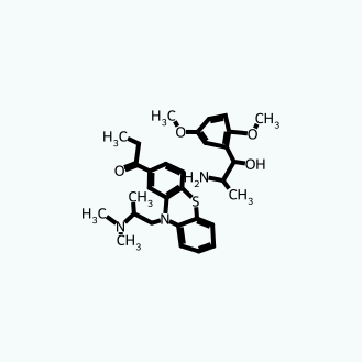 CCC(=O)c1ccc2c(c1)N(CC(C)N(C)C)c1ccccc1S2.COc1ccc(OC)c(C(O)C(C)N)c1